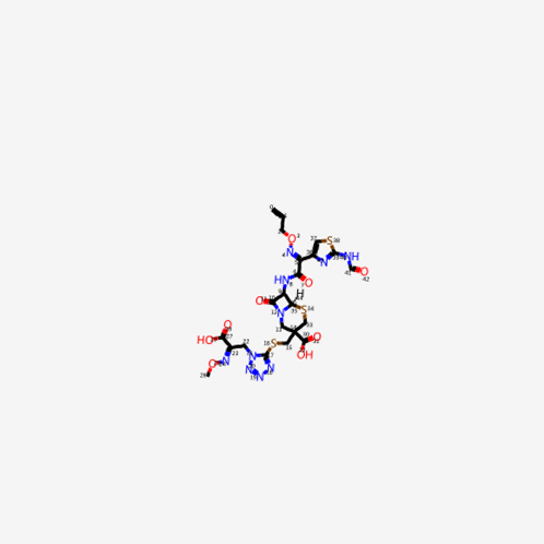 C=CCON=C(C(=O)NC1C(=O)N2CC(CSc3nnnn3CC(=NOC)C(=O)O)(C(=O)O)CS[C@H]12)c1csc(NC=O)n1